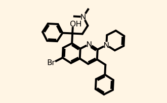 CN(C)CCC(O)(c1ccccc1)c1cc(Br)cc2cc(Cc3ccccc3)c(N3CC=CCC3)nc12